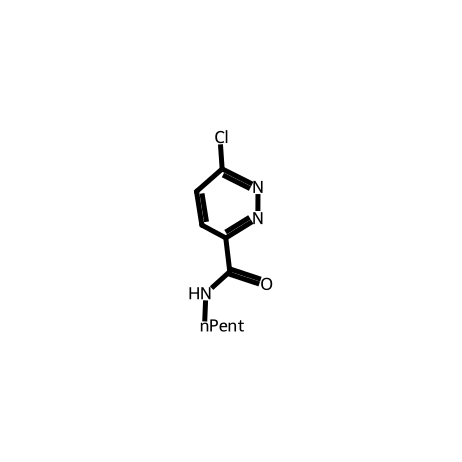 CCCCCNC(=O)c1ccc(Cl)nn1